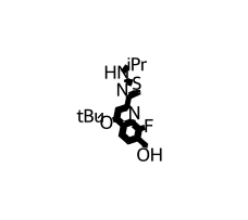 CC(C)Nc1nc(-c2cc(OC(C)(C)C)c3ccc(CO)c(F)c3n2)cs1